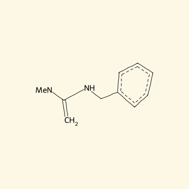 C=C(NC)NCc1ccccc1